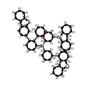 c1ccc(-c2c(-c3ccc4c(c3)sc3ccccc34)cccc2N(c2cccc(-c3cccc4oc5ccccc5c34)c2)c2cccc(-n3c4ccccc4c4ccccc43)c2)cc1